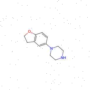 c1cc2c(cc1N1CCNCC1)CCO2